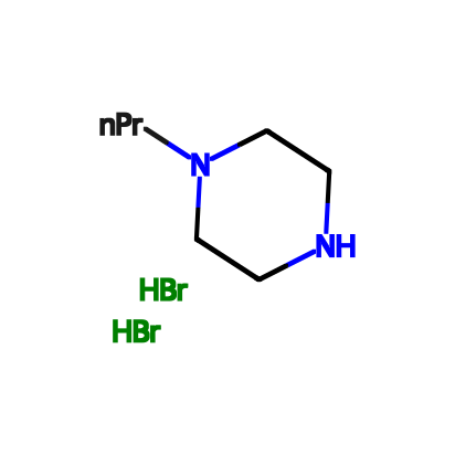 Br.Br.CCCN1CCNCC1